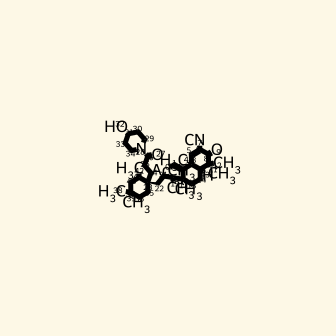 CC(=O)/C=C1/[C@@]2(C)C=C(C#N)C(=O)C(C)(C)[C@@H]2CC[C@@]1(C)C(C)(C)CC[C@@]1(CCC(=O)N2CCC(O)CC2)CCC(C)(C)CC1C